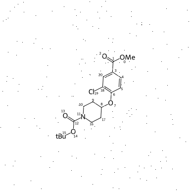 COC(=O)c1ccc(OC2CCN(C(=O)OC(C)(C)C)CC2)c(Cl)c1